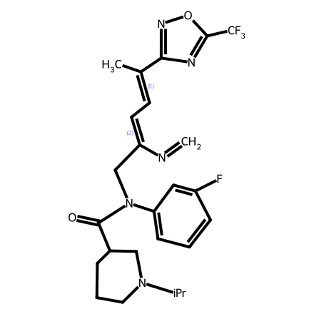 C=N/C(=C\C=C(/C)c1noc(C(F)(F)F)n1)CN(C(=O)C1CCCN(C(C)C)C1)c1cccc(F)c1